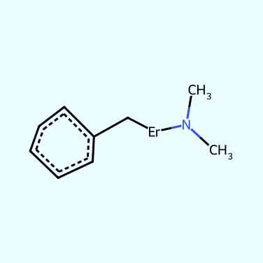 C[N](C)[Er][CH2]c1ccccc1